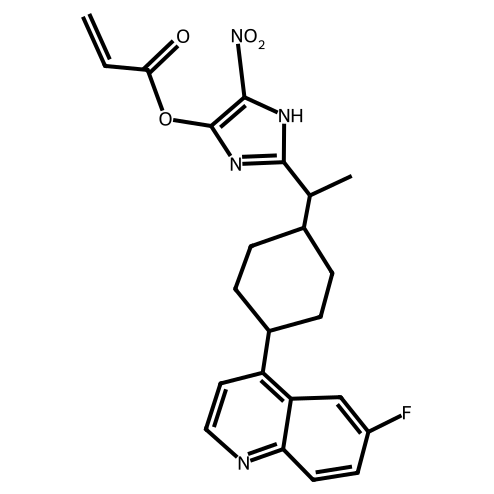 C=CC(=O)Oc1nc(C(C)C2CCC(c3ccnc4ccc(F)cc34)CC2)[nH]c1[N+](=O)[O-]